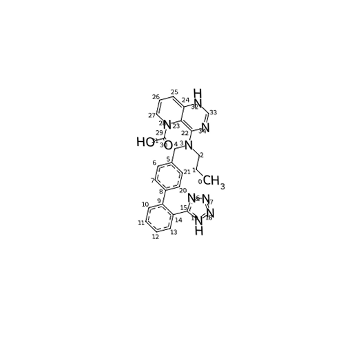 CCCN(Cc1ccc(-c2ccccc2-c2nnn[nH]2)cc1)C1=C2C(=CC=CN2C(=O)O)NC=N1